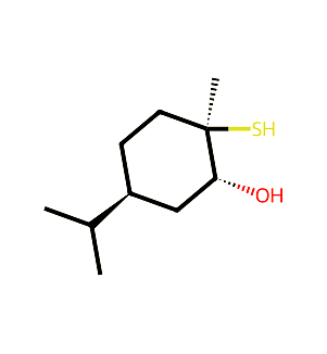 CC(C)[C@H]1CC[C@@](C)(S)[C@H](O)C1